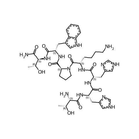 C[C@@H](O)[C@H](N)C(=O)N[C@@H](Cc1c[nH]cn1)C(=O)N[C@@H](Cc1c[nH]cn1)C(=O)N[C@@H](CCCCN)C(=O)N1CCC[C@H]1C(=O)N[C@@H](Cc1c[nH]c2ccccc12)C(=O)N[C@H](C(N)=O)[C@@H](C)O